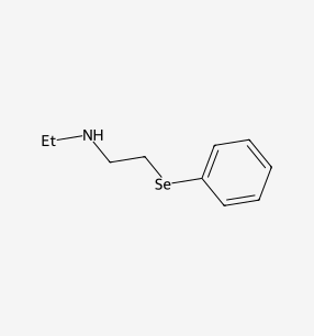 CCNCC[Se]c1ccccc1